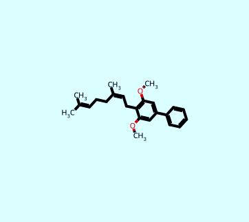 COc1cc(-c2ccccc2)cc(OC)c1CC=C(C)CCC=C(C)C